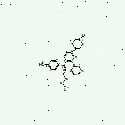 CCN1CCN(c2ccc(/C(=C(/CCCO)c3ccccc3)c3ccc(O)cc3)cc2)CC1